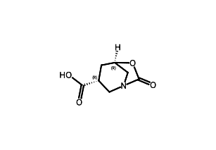 O=C(O)[C@@H]1C[C@@H]2CN(C1)C(=O)O2